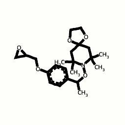 CC(ON1C(C)(C)CC2(CC1(C)C)OCCO2)c1ccc(OCC2CO2)cc1